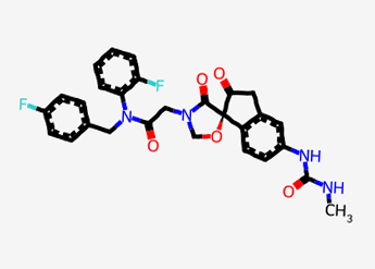 CNC(=O)Nc1ccc2c(c1)CC(=O)[C@]21OCN(CC(=O)N(Cc2ccc(F)cc2)c2ccccc2F)C1=O